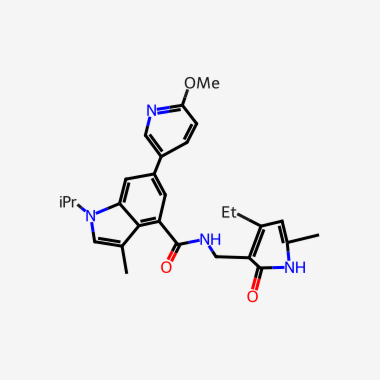 CCc1cc(C)[nH]c(=O)c1CNC(=O)c1cc(-c2ccc(OC)nc2)cc2c1c(C)cn2C(C)C